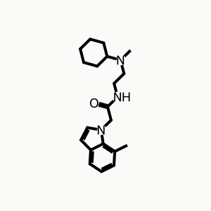 Cc1cccc2ccn(CC(=O)NCCN(C)C3CCCCC3)c12